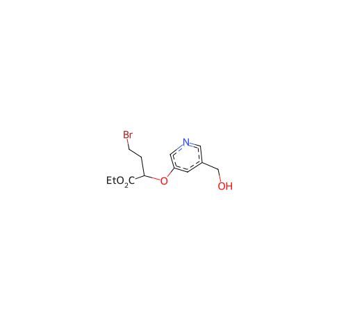 CCOC(=O)C(CCBr)Oc1cncc(CO)c1